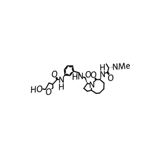 CN[C@@H](C)C(=O)N[C@H]1CCCCC2CC[C@@H](C(=O)NCc3cccc(NC(=O)C4COC(O)C4)c3)N2C1=O